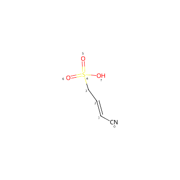 N#CC=CCS(=O)(=O)O